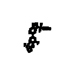 COC(F)(F)c1nnc2cnc(-c3cnc(OC4(C(F)(F)F)CCC4)c(F)c3)cn12